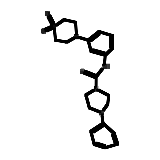 O=C(Nc1cccc(N2CCS(=O)(=O)CC2)c1)N1CCN(c2ccccc2)CC1